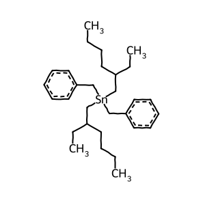 CCCCC(CC)[CH2][Sn]([CH2]c1ccccc1)([CH2]c1ccccc1)[CH2]C(CC)CCCC